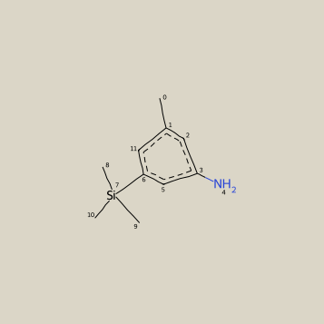 Cc1cc(N)cc([Si](C)(C)C)c1